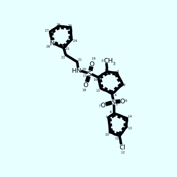 Cc1ccc(S(=O)(=O)c2ccc(Cl)cc2)cc1S(=O)(=O)NCCc1ccccn1